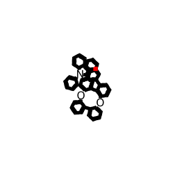 C1=CC2c3ccc(-c4cccc5c4-c4cc(-c6ccccc6)ccc4Oc4ccccc4-c4ccccc4O5)cc3N(c3ccccc3)C2C=C1